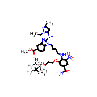 CCn1nc(C)cc1Nc1nc2cc(C(=O)OC)ccc2n1C/C=C/CNc1c(OCCCO[Si](C)(C)C(C)(C)C)cc(C(N)=O)cc1[N+](=O)[O-]